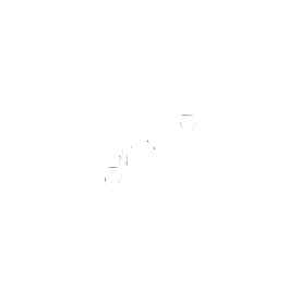 CS(=O)(=O)N(CCCN1CCC(Cc2ccccc2)CC1)c1ccccc1